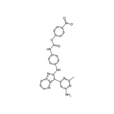 Cc1nc(N)cc(-c2c(Nc3ccc(NC(=O)Oc4ccc([N+](=O)[O-])cc4)cc3)nc3cccnn23)n1